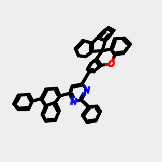 C1=CC2=C(CC1)C1(C3=C(C=C(c4cc(-c5ccc(-c6ccccc6)c6ccccc56)nc(-c5ccccc5)n4)CC3)Oc3ccccc31)c1ccccc12